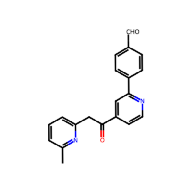 Cc1cccc(CC(=O)c2ccnc(-c3ccc(C=O)cc3)c2)n1